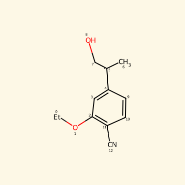 CCOc1cc([C](C)CO)ccc1C#N